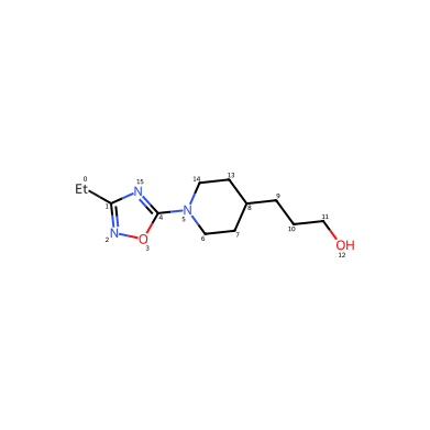 CCc1noc(N2CCC(CCCO)CC2)n1